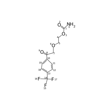 NC(=O)OCCOCC(=O)c1ccc(C(F)(F)F)cc1